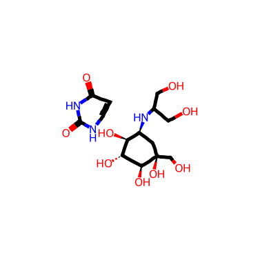 O=c1cc[nH]c(=O)[nH]1.OCC(CO)N[C@H]1C[C@](O)(CO)[C@@H](O)[C@H](O)[C@H]1O